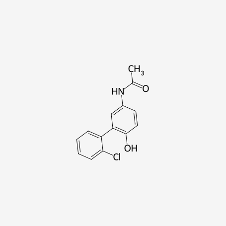 CC(=O)Nc1ccc(O)c(-c2ccccc2Cl)c1